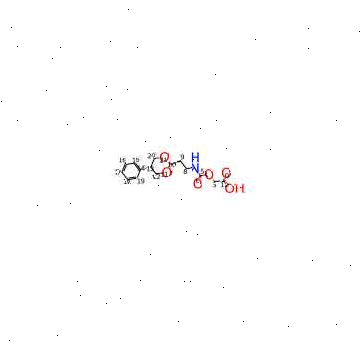 O=C(O)COC(=O)NCC[C@H]1OC[C@H](c2ccccc2)CO1